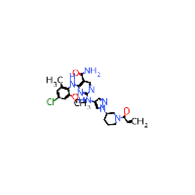 C=CC(=O)N1CCCC(n2cc(Nc3ncc(C(N)=O)c(Nc4c(C)cc(Cl)cc4OC)n3)cn2)C1